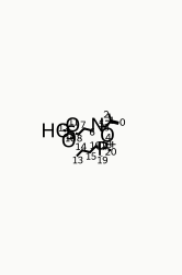 C=C(C)C(=O)[N-]CCCS(=O)(=O)O.CCCC[P+](C)(C)C